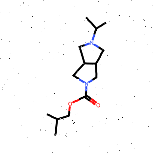 CC(C)COC(=O)N1CC2CN(C(C)C)CC2C1